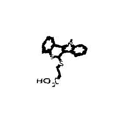 Cn1c2c(c3ccccc31)C(SCCC(=O)O)Sc1ccccc1-2